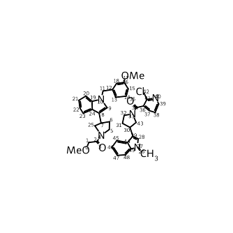 COCC(=O)N1CCC(c2cn(Cc3cccc(OC)c3)c3ccccc23)C1.Cn1cc(C2CCN(C(=O)c3cccnc3Cl)C2)c2ccccc21